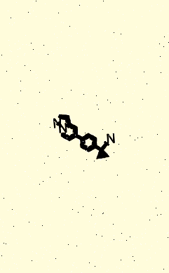 N#CC1(c2ccc(-c3ccn4nccc4c3)cc2)CC1